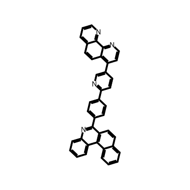 c1ccc2c(c1)ccc1c(-c3ccc(-c4ccc(-c5ccnc6c5ccc5cccnc56)cn4)cc3)nc3ccccc3c12